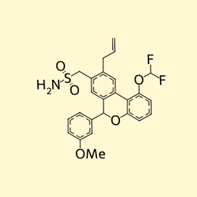 C=CCc1cc2c(cc1CS(N)(=O)=O)C(c1cccc(OC)c1)Oc1cccc(OC(F)F)c1-2